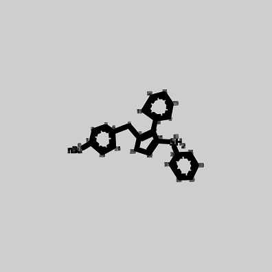 CCCCc1ccc(CC2=C(c3ccccc3)C([SiH2]c3ccccc3)=CC2)cc1